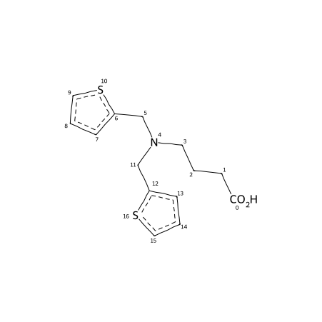 O=C(O)CCCN(Cc1cccs1)Cc1cccs1